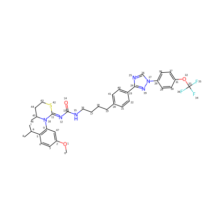 COc1ccc(C(C)C)c(N2/C(=N/C(=O)NCCCCc3ccc(-c4ncn(-c5ccc(OC(F)(F)F)cc5)n4)cc3)SCCC2C)c1